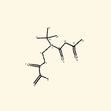 C=C(C)C(=O)CCN(C(=O)CC(C)=O)C(C)(C)C